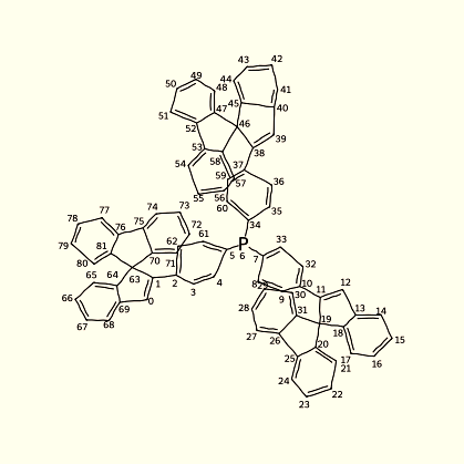 C1=C(c2ccc(P(c3ccc(C4=Cc5ccccc5C45c4ccccc4-c4ccccc45)cc3)c3ccc(C4=Cc5ccccc5C45c4ccccc4-c4ccccc45)cc3)cc2)C2(c3ccccc31)c1ccccc1-c1ccccc12